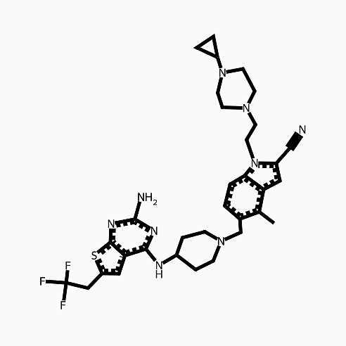 Cc1c(CN2CCC(Nc3nc(N)nc4sc(CC(F)(F)F)cc34)CC2)ccc2c1cc(C#N)n2CCN1CCN(C2CC2)CC1